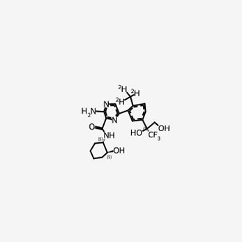 [2H]C([2H])([2H])c1ccc([C@](O)(CO)C(F)(F)F)cc1-c1cnc(N)c(C(=O)N[C@H]2CCCC[C@@H]2O)n1